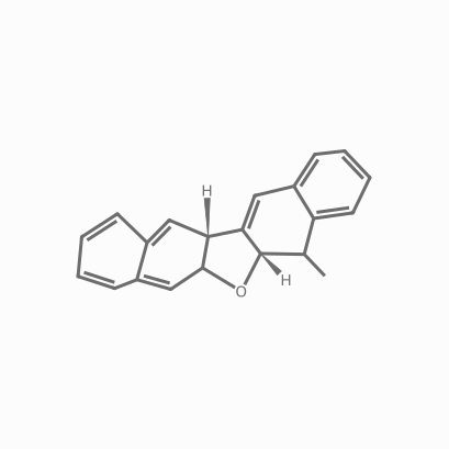 CC1c2ccccc2C=C2[C@H]3C=c4ccccc4=CC3O[C@H]21